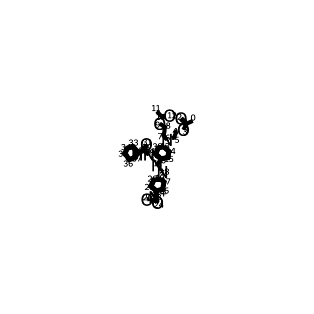 CC(=O)OCCN(CCOC(C)=O)c1ccc(N=Nc2ccc([N+](=O)[O-])cc2)c(NC(=O)c2ccccc2)c1